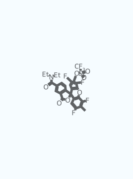 CCN(CC)C(=O)c1ccc2c(c1)C(=O)OC21c2cc(F)c(C)c(F)c2Oc2c1cc(F)c(OS(=O)(=O)C(F)(F)F)c2F